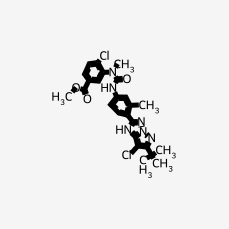 COC(=O)c1ccc(Cl)c(N(C)C(=O)Nc2ccc(-c3nn4nc(C(C)(C)C)c(Cl)c4[nH]3)c(C)c2)c1